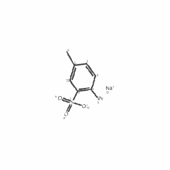 Cc1ccc(C(C)C)c(S(=O)(=O)[O-])c1.[Na+]